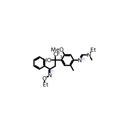 CCO/N=C(/CC(O)(c1cc(C)c(/N=C/N(C)CC)cc1OC)C(F)(F)F)c1ccccc1